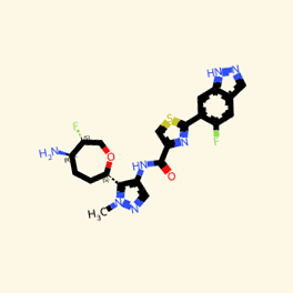 Cn1ncc(NC(=O)c2csc(-c3cc4[nH]ncc4cc3F)n2)c1[C@@H]1CC[C@@H](N)[C@H](F)CO1